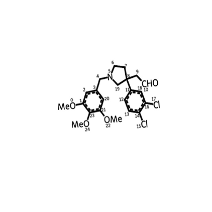 COc1cc(CN2CCC(CC=O)(c3ccc(Cl)c(Cl)c3)C2)cc(OC)c1OC